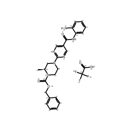 C[C@H]1CN(c2ncc(C(=O)Nc3ccccc3N)cn2)CCN1C(=O)OCc1ccccc1.O=C(O)C(F)(F)F